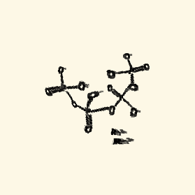 O=P([O-])([O-])OP(=O)([O-])OP(=O)([O-])OP(=O)([O-])[O-].[Rh+3].[Rh+3]